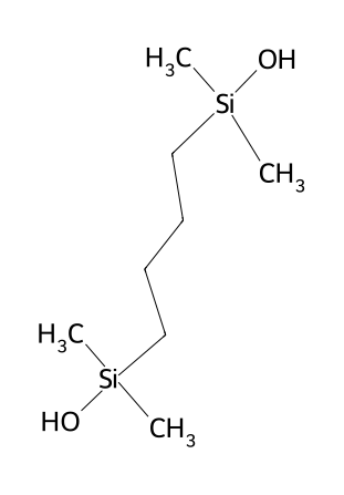 C[Si](C)(O)CCCC[Si](C)(C)O